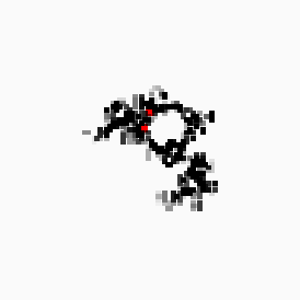 Nc1nc2c(nnn2[C@@H]2O[C@@H]3COP(O)(=S)O[C@H]4[C@H]5OC[C@]4(COP(O)(=S)O[C@@H]2C3)O[C@H]5n2cnc3c(N)ncnc32)c(=O)[nH]1